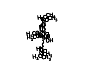 CC(C)(C)OC(=O)NCCCC[C@H](NC(=O)[C@H](Cc1cn(C(=O)OC(C)(C)C)cn1)NC(=O)OC(C)(C)C)C(=O)O